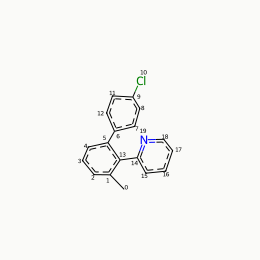 Cc1cccc(-c2ccc(Cl)cc2)c1-c1ccccn1